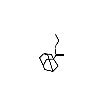 C=C(OCC)C12CC3CC(CC(C3)C1)C2